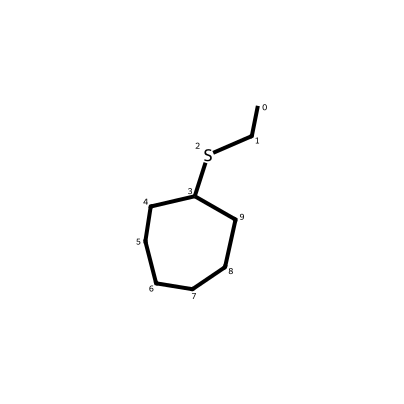 CCSC1CCCCCC1